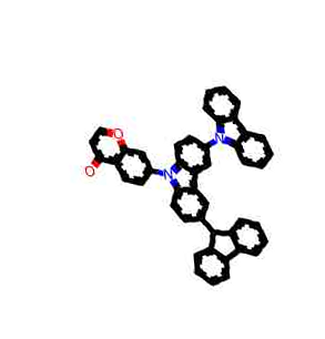 O=c1ccoc2cc(-n3c4ccc(C5c6ccccc6-c6ccccc65)cc4c4cc(-n5c6ccccc6c6ccccc65)ccc43)ccc12